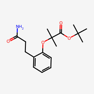 CC(C)(C)OC(=O)C(C)(C)Oc1ccccc1CCC(N)=O